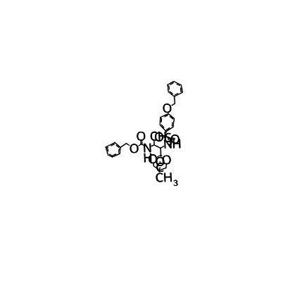 CC(NC(=O)OCc1ccccc1)C(NS(=O)(=O)c1ccc(OCc2ccccc2)cc1)C12OCC(C)(CO1)CO2